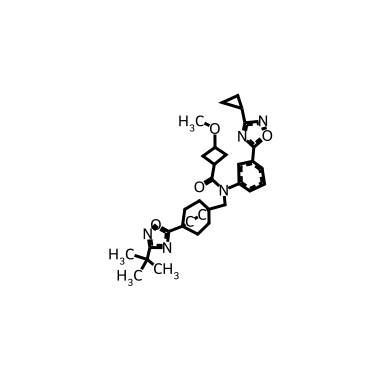 COC1CC(C(=O)N(CC23CCC(c4nc(C(C)(C)C)no4)(CC2)CC3)c2cccc(-c3nc(C4CC4)no3)c2)C1